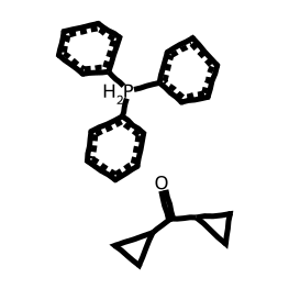 O=C(C1CC1)C1CC1.c1ccc([PH2](c2ccccc2)c2ccccc2)cc1